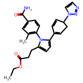 CCOC(=O)CCc1ccc(C2=CCC(n3ccnn3)C=C2)n1-c1ccc(C(N)=O)cc1C